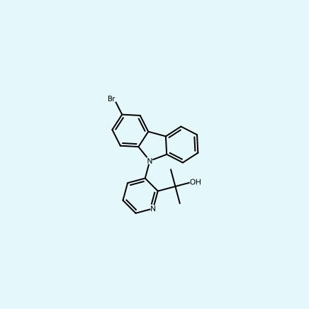 CC(C)(O)c1ncccc1-n1c2ccccc2c2cc(Br)ccc21